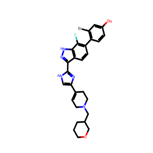 CCc1cc(O)ccc1-c1ccc2c(-c3nc(C4=CCN(CC5CCCOC5)CC4)c[nH]3)n[nH]c2c1F